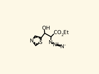 CCOC(=O)C(N=[N+]=[N-])C(O)c1cncs1